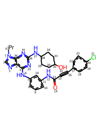 CC(C)n1cnc2c(Nc3cccc(NC(=O)C#Cc4ccc(Cl)cc4)c3)nc(NC3CCC(O)CC3)nc21